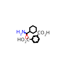 NC(=O)C1CCCCC1.O=C(O)c1cccc(C(=O)O)c1